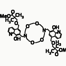 COC(=O)C(C)(C)COCc1cc(CN2CCOCCOCCN(Cc3cc(COCC(C)(C)C(=O)OC)c4cccnc4c3O)CCOCCOCC2)c(O)c2ncccc12